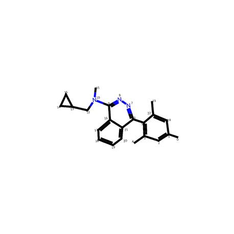 Cc1cc(C)c(-c2nnc(N(C)CC3CC3)c3ccccc23)c(C)c1